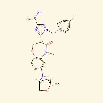 CN1C(=O)[C@@H](c2nc(C(N)=O)nn2Cc2ccc(F)cc2)COc2ccc(N3C[C@@H]4C[C@H]3CO4)cc21